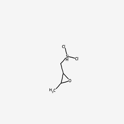 CC1OC1C[SiH](Cl)Cl